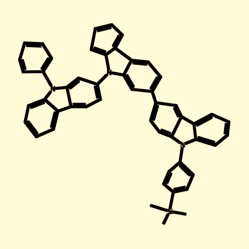 C[Si](C)(C)c1ccc(-n2c3ccccc3c3cc(-c4ccc5c6ccccc6n(-c6ccc7c8ccccc8n(-c8ccccc8)c7c6)c5c4)ccc32)cc1